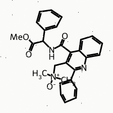 COC(=O)C(NC(=O)c1c(C[N+](C)(C)[O-])c(-c2ccccc2)nc2ccccc12)c1ccccc1